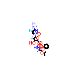 CC(C)OC(=O)[C@H](C)N[P@](=O)(Oc1ccccc1)O[C@@H](C)[C@H]1O[C@@H](n2cc(F)c(N)nc2=O)[C@](C)(F)C1O